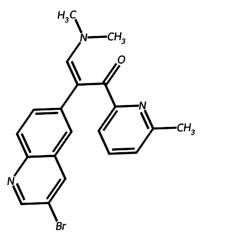 Cc1cccc(C(=O)/C(=C\N(C)C)c2ccc3ncc(Br)cc3c2)n1